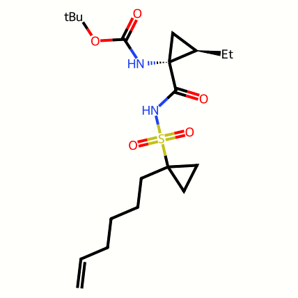 C=CCCCCC1(S(=O)(=O)NC(=O)[C@@]2(NC(=O)OC(C)(C)C)C[C@H]2CC)CC1